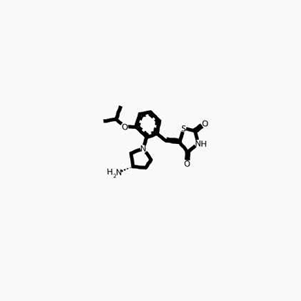 CC(C)Oc1cccc(/C=C2\SC(=O)NC2=O)c1N1CC[C@H](N)C1